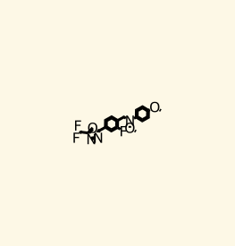 COc1ccc(N(Cc2ccc(-c3nnc(C(F)F)o3)cc2F)OC)cc1